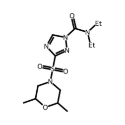 CCN(CC)C(=O)n1cnc(S(=O)(=O)N2CC(C)OC(C)C2)n1